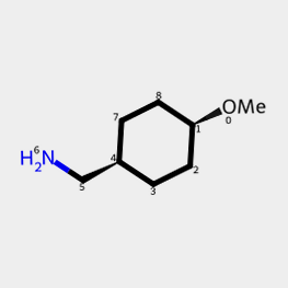 CO[C@H]1CC[C@@H](CN)CC1